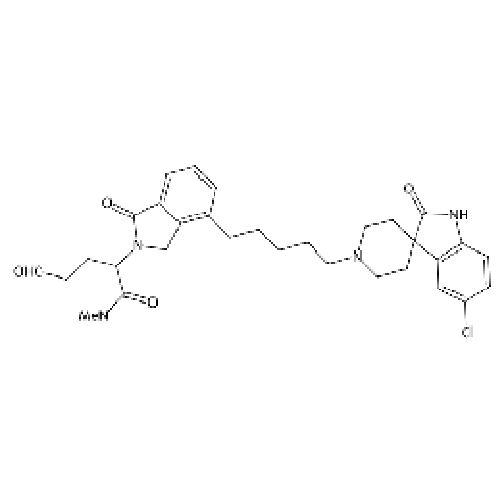 CNC(=O)C(CCC=O)N1Cc2c(CCCCCN3CCC4(CC3)C(=O)Nc3ccc(Cl)cc34)cccc2C1=O